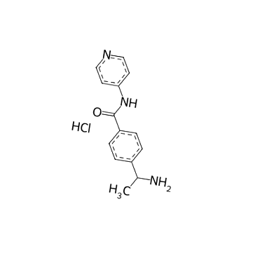 CC(N)c1ccc(C(=O)Nc2ccncc2)cc1.Cl